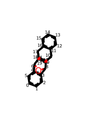 c1ccc2c(c1)C1OC2C2C3c4ccccc4C(c4ccccc43)C12